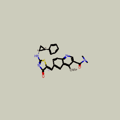 COc1c(C(=O)N(C)C)cnc2ccc(/C=C3\SC(N[C@@H]4C[C@H]4c4ccccc4)=NC3=O)cc12